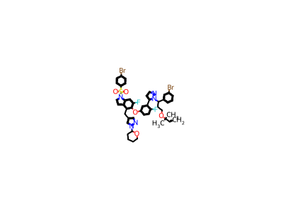 C=CC(C)(C)OCCC(c1cccc(Br)c1)n1nccc1-c1cc(Oc2c(F)cc3c(ccn3S(=O)(=O)c3ccc(Br)cc3)c2Cc2cnn(C3CCCCO3)c2)ccc1F